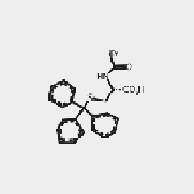 CC(C)C(=O)N[C@@H](CSC(c1ccccc1)(c1ccccc1)c1ccccc1)C(=O)O